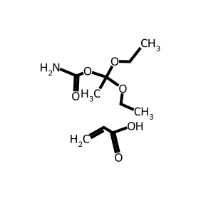 C=CC(=O)O.CCOC(C)(OCC)OC(N)=O